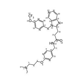 CN(C)CCCOc1ccc(CNC(=O)CCc2nc3ccncc3n2Cc2ccc(OC(F)(F)F)cc2)cc1